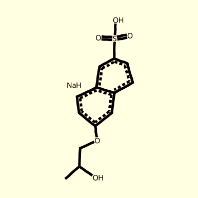 CC(O)COc1ccc2cc(S(=O)(=O)O)ccc2c1.[NaH]